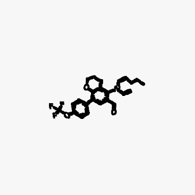 C=CN(/C=C\CCC)c1c(C=O)cc(-c2ccc(OC(F)(F)F)cc2)c2c1CCCO2